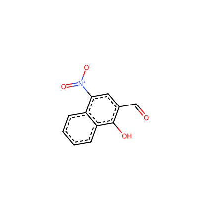 O=Cc1cc([N+](=O)[O-])c2ccccc2c1O